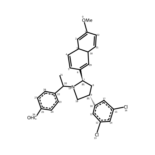 COC1=CC2C=CC([C@H]3C[C@H](c4cc(Cl)cc(Cl)c4)CN3C(C)c3ccc(C=O)cc3)=CC2C=C1